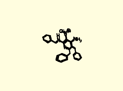 Nc1c(Cc2ccccc2)c(Cc2ccccc2)nc(NCc2ccccc2)c1[N+](=O)[O-]